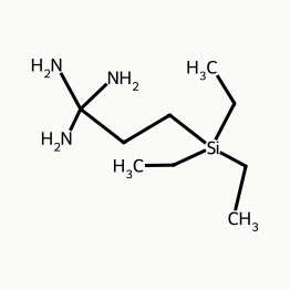 CC[Si](CC)(CC)CCC(N)(N)N